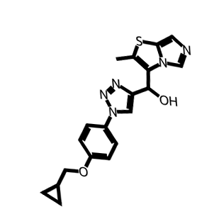 Cc1sc2cncn2c1C(O)c1cn(-c2ccc(OCC3CC3)cc2)nn1